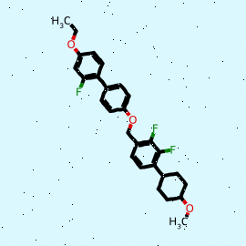 CCOc1ccc(-c2ccc(OCc3ccc(C4CCC(OC)CC4)c(F)c3F)cc2)c(F)c1